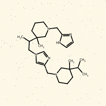 CC(C)C1(C)CCCN(Cc2cn(CC(C)C3(C)CCCN(Cc4ncc[nH]4)C3)cn2)C1